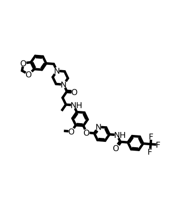 COc1cc(NC(C)CC(=O)N2CCN(Cc3ccc4c(c3)OCO4)CC2)ccc1Oc1ccc(NC(=O)c2ccc(C(F)(F)F)cc2)cn1